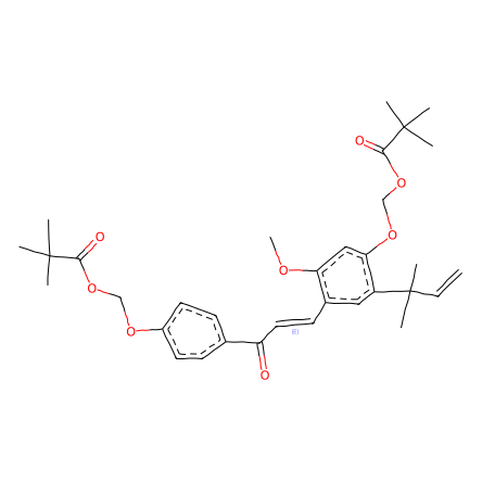 C=CC(C)(C)c1cc(/C=C/C(=O)c2ccc(OCOC(=O)C(C)(C)C)cc2)c(OC)cc1OCOC(=O)C(C)(C)C